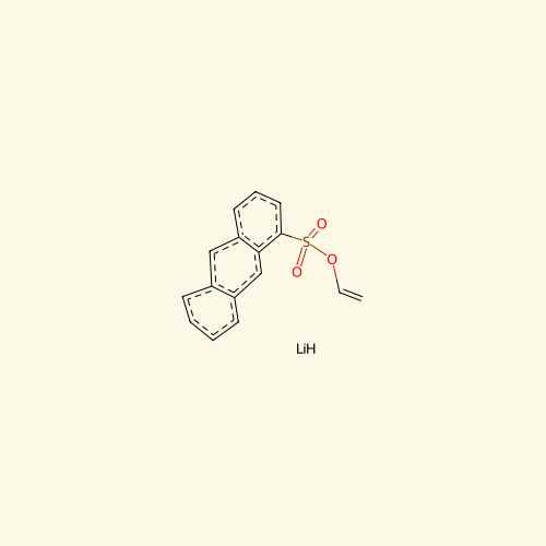 C=COS(=O)(=O)c1cccc2cc3ccccc3cc12.[LiH]